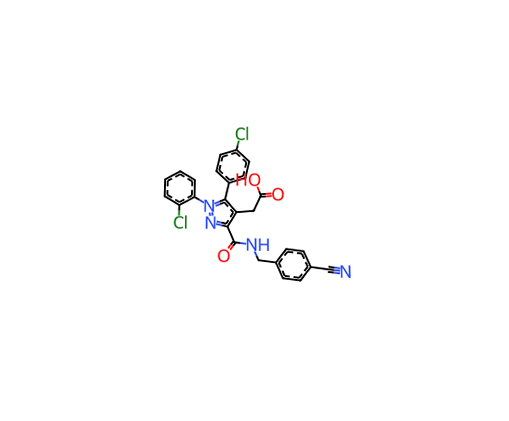 N#Cc1ccc(CNC(=O)c2nn(-c3ccccc3Cl)c(-c3ccc(Cl)cc3)c2CC(=O)O)cc1